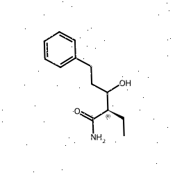 CC[C@@H](C(N)=O)C(O)CCc1ccccc1